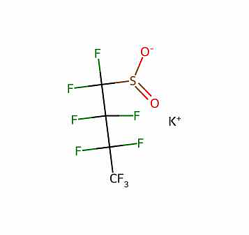 O=S([O-])C(F)(F)C(F)(F)C(F)(F)C(F)(F)F.[K+]